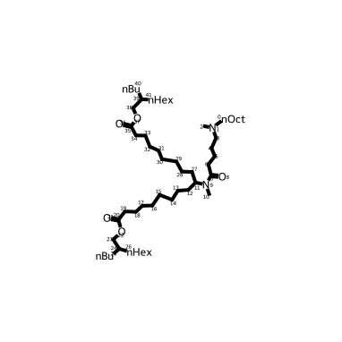 CCCCCCCCN(C)CCCCC(=O)N(C)C(CCCCCCCCC(=O)OCC(CCCC)CCCCCC)CCCCCCCCC(=O)OCC(CCCC)CCCCCC